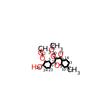 COCOc1cc(-c2oc3cc(C)ccc3c(=O)c2OCOC)ccc1O